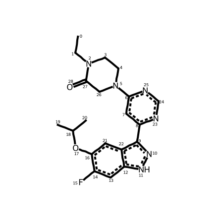 CCN1CCN(c2cc(-c3n[nH]c4cc(F)c(OC(C)C)cc34)ncn2)CC1=O